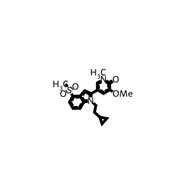 COc1cc(-c2cc3c(S(C)(=O)=O)cccc3n2CCC2CC2)cn(C)c1=O